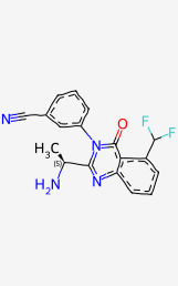 C[C@H](N)c1nc2cccc(C(F)F)c2c(=O)n1-c1cccc(C#N)c1